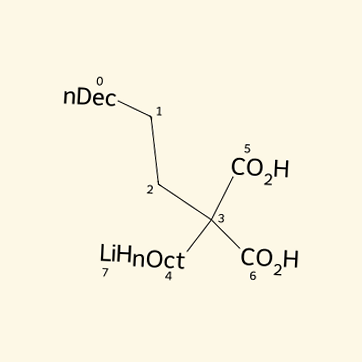 CCCCCCCCCCCCC(CCCCCCCC)(C(=O)O)C(=O)O.[LiH]